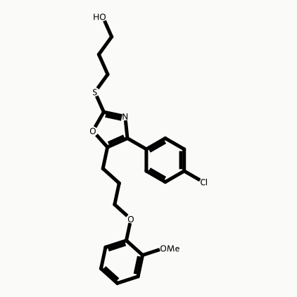 COc1ccccc1OCCCc1oc(SCCCO)nc1-c1ccc(Cl)cc1